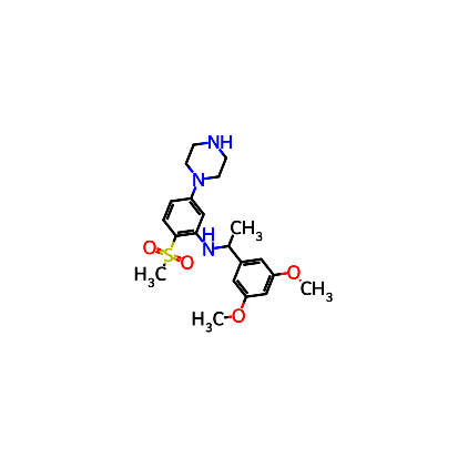 COc1cc(OC)cc(C(C)Nc2cc(N3CCNCC3)ccc2S(C)(=O)=O)c1